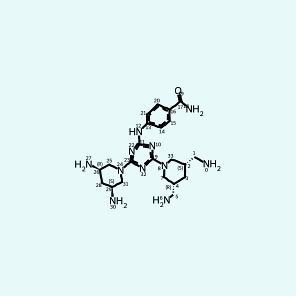 NC[C@@H]1C[C@H](CN)CN(c2nc(Nc3ccc(C(N)=O)cc3)nc(N3C[C@H](N)C[C@H](N)C3)n2)C1